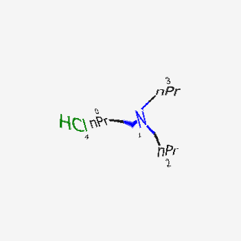 CCCN(CCC)CCC.Cl